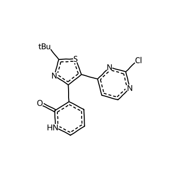 CC(C)(C)c1nc(-c2ccc[nH]c2=O)c(-c2ccnc(Cl)n2)s1